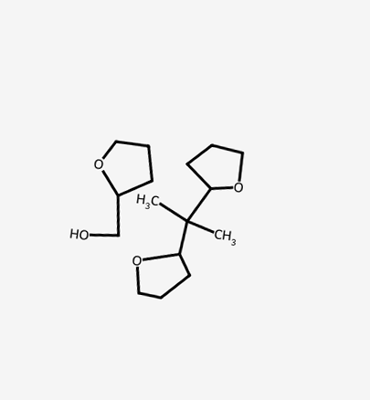 CC(C)(C1CCCO1)C1CCCO1.OCC1CCCO1